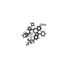 COc1ccc2c(c1)C=C(c1c(C(=O)N3CC4CCC(C3)N4C)cnn1C1CCC1)Cn1c-2c(C2CCCCC2)c2ccc(C(=O)NS(=O)(=O)CC(C)C)cc21